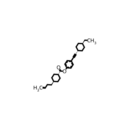 C=CCC[C@H]1CC[C@H](C(=O)Oc2ccc(C#C[C@H]3CC[C@H](CC)CC3)cc2)CC1